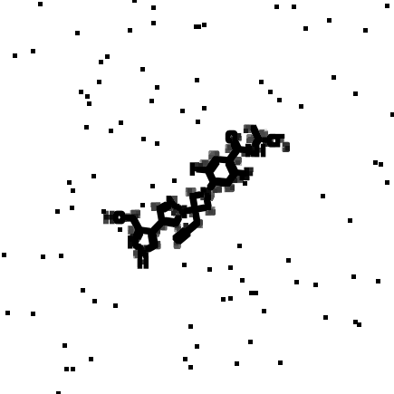 C#CCC1(n2cc(-c3c[nH]nc3CO)cn2)CN(c2cc(F)c(C(=O)N[C@@H](C)C(F)(F)F)cc2F)C1